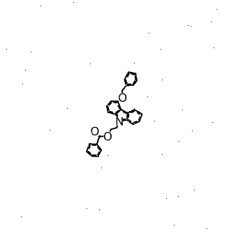 O=C(OCCn1c2ccccc2c2c(OCc3ccccc3)cccc21)c1ccccc1